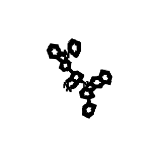 c1ccc(-c2ccc3c(c2)c2cc4ccccc4cc2n3-c2ccc(-c3ccc4c5ccccc5n(-c5ccccc5)c4c3)c3cnncc23)cc1